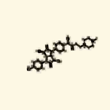 CN1CCN(CCNC(=O)c2ccc(C3=C4C(=O)NC(c5ccc(Cl)cc5)=C4C(=O)N3)cc2)CC1